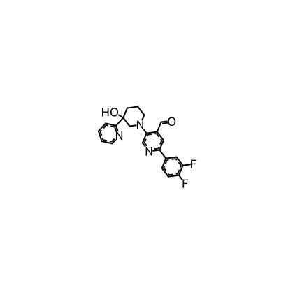 O=Cc1cc(-c2ccc(F)c(F)c2)ncc1N1CCCC(O)(c2ccccn2)C1